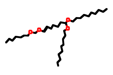 CCCCCCCCCCOC(CCCCC=COCOCCCCCCC)OCCCCCCCCCC